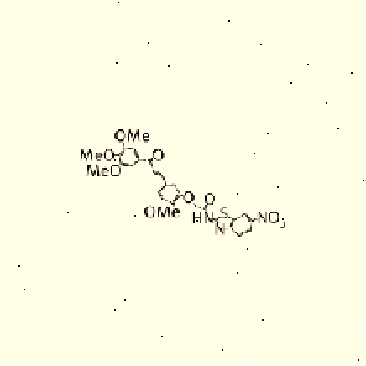 COc1ccc(/C=C/C(=O)c2cc(OC)c(OC)c(OC)c2)cc1OCC(=O)Nc1nc2ccc([N+](=O)[O-])cc2s1